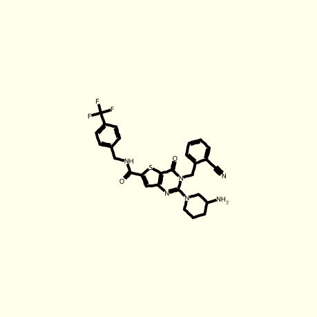 N#Cc1ccccc1Cn1c(N2CCCC(N)C2)nc2cc(C(=O)NCc3ccc(C(F)(F)F)cc3)sc2c1=O